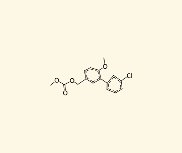 COC(=O)OCc1ccc(OC)c(-c2cccc(Cl)c2)c1